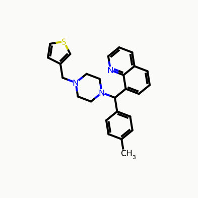 Cc1ccc(C(c2cccc3cccnc23)N2CCN(Cc3ccsc3)CC2)cc1